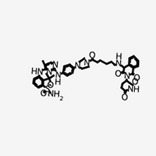 Cc1cnc(Nc2ccc(N3CCN(C(=O)CCCCCNC4C(=O)N(C5CCC(=O)NC5=O)C(=O)c5ccccc54)CC3)cc2)nc1Nc1cccc(S(N)(=O)=O)c1C(C)(C)C